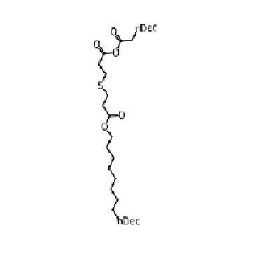 CCCCCCCCCCCCCCCCCCOC(=O)CCSCCC(=O)OC(=O)CCCCCCCCCCC